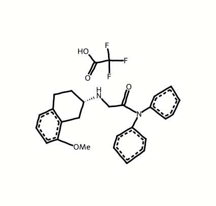 COc1cccc2c1C[C@@H](NCC(=O)N(c1ccccc1)c1ccccc1)CC2.O=C(O)C(F)(F)F